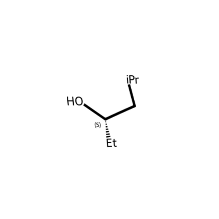 CC[C@H](O)CC(C)C